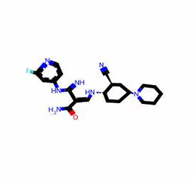 N#C[C@H]1C[C@H](N2CCCCC2)CC[C@@H]1N/C=C(\C(=N)Nc1ccnc(F)c1)C(N)=O